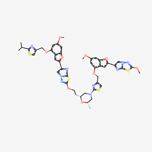 COc1cc(OCc2csc(N3C[C@@H](CCOc4nn5cc(-c6cc7c(OCc8csc(C(C)C)n8)cc(OC)cc7o6)nc5s4)O[C@@H](C)C3)n2)c2cc(-c3cn4nc(OC)sc4n3)oc2c1